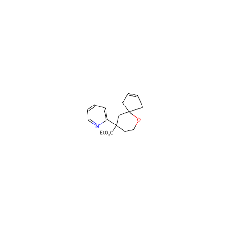 CCOC(=O)C1(c2ccccn2)CCOC2(CC=CC2)C1